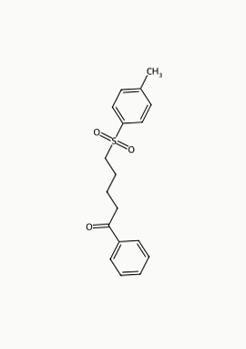 Cc1ccc(S(=O)(=O)CCCCC(=O)c2ccccc2)cc1